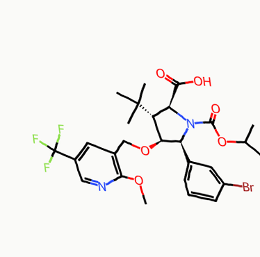 COc1ncc(C(F)(F)F)cc1CO[C@H]1[C@H](C(C)(C)C)[C@@H](C(=O)O)N(C(=O)OC(C)C)[C@H]1c1cccc(Br)c1